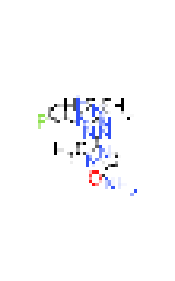 Cc1nc2c(C(N)=O)cccn2c1-c1nnc(N(C)C)c(NCc2cccc(F)c2)n1